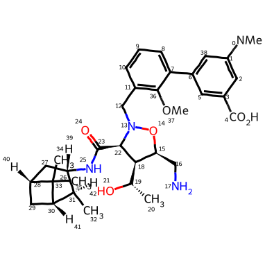 CNc1cc(C(=O)O)cc(-c2cccc(CN3O[C@@H](CN)[C@@H]([C@H](C)O)[C@H]3C(=O)N[C@H]3C[C@H]4C[C@@H]([C@@H]3C)C4(C)C)c2OC)c1